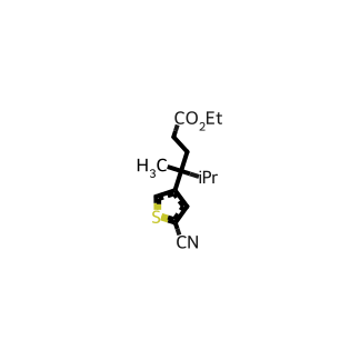 CCOC(=O)CCC(C)(c1csc(C#N)c1)C(C)C